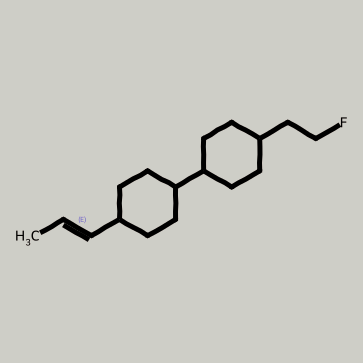 C/C=C/C1CCC(C2CCC(CCF)CC2)CC1